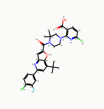 CC(C)(C)c1cc(-c2ccc(Cl)c(F)c2)nc2cc(C(=O)N3CCN(c4nc(Cl)ccc4C(=O)O)CC3(C)C)oc12